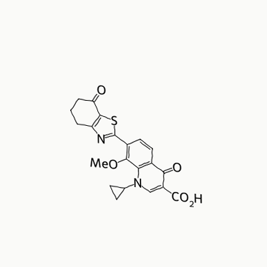 COc1c(-c2nc3c(s2)C(=O)CCC3)ccc2c(=O)c(C(=O)O)cn(C3CC3)c12